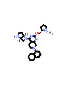 CN1CCC[C@H]1COc1nc2c(c(N3C[C@H]4NCC[C@H]43)n1)CCN(c1cccc3c1CCCC3)C2